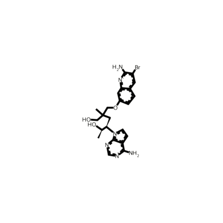 C[C@@H](O)[C@@H](CC(C)(CO)COc1ccc2cc(Br)c(N)nc2c1)n1ccc2c(N)ncnc21